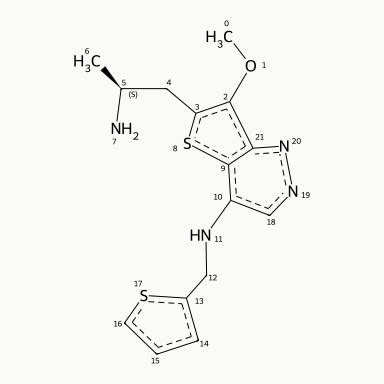 COc1c(C[C@H](C)N)sc2c(NCc3cccs3)cnnc12